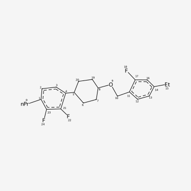 CCCc1ccc(C2CCC(OCc3ccc(CC)cc3F)CC2)c(F)c1F